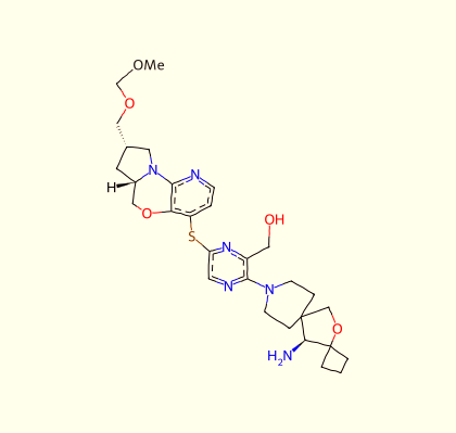 COCOC[C@H]1C[C@H]2COc3c(Sc4cnc(N5CCC6(CC5)COC5(CCC5)[C@H]6N)c(CO)n4)ccnc3N2C1